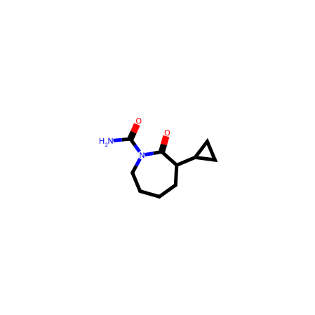 NC(=O)N1CCCCC(C2CC2)C1=O